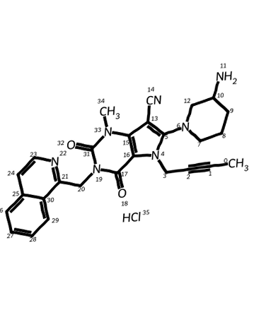 CC#CCn1c(N2CCCC(N)C2)c(C#N)c2c1c(=O)n(Cc1nccc3ccccc13)c(=O)n2C.Cl